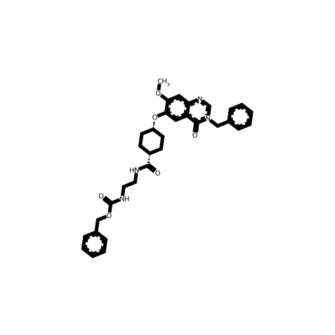 COc1cc2ncn(Cc3ccccc3)c(=O)c2cc1O[C@H]1CC[C@@H](C(=O)NCCNC(=O)OCc2ccccc2)CC1